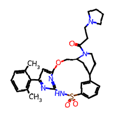 Cc1cccc(C)c1-c1cc2nc(n1)NS(=O)(=O)c1cccc(c1)C1CCN(C(=O)CCN3CCCC3)C(CO2)C1